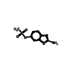 CS(=O)(=O)Oc1ccc2nc(N)sc2c1